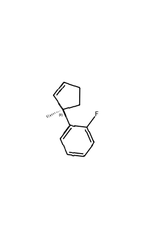 C[C@]1(c2ccccc2F)C=CCC1